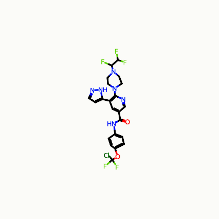 O=C(Nc1ccc(OC(F)(F)Cl)cc1)c1cnc(N2CCN(C(F)C(F)F)CC2)c(-c2ccn[nH]2)c1